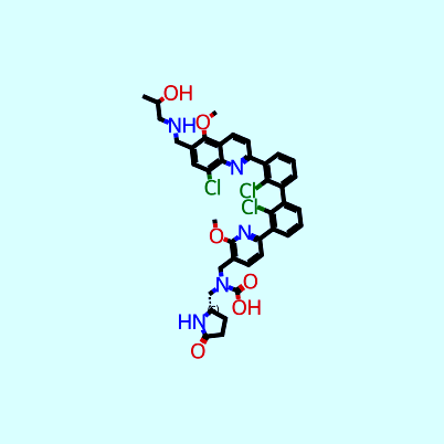 COc1nc(-c2cccc(-c3cccc(-c4ccc5c(OC)c(CNCC(C)O)cc(Cl)c5n4)c3Cl)c2Cl)ccc1CN(C[C@@H]1CCC(=O)N1)C(=O)O